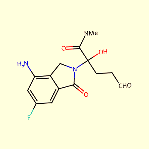 CNC(=O)C(O)(CCC=O)N1Cc2c(N)cc(F)cc2C1=O